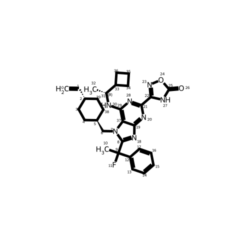 C=C[C@H]1CC[C@H](Cn2c(C(C)(F)c3ccccc3)nc3nc(-c4noc(=O)[nH]4)nc(N[C@H](C)C4CCC4)c32)CC1